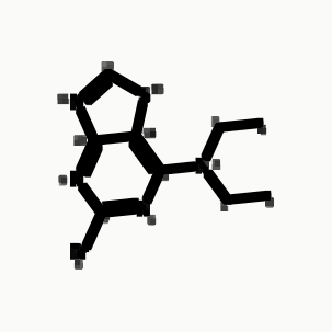 CCN(CC)c1nc(Br)nc2n[c]sc12